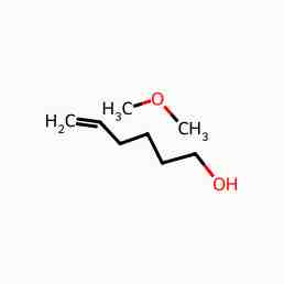 C=CCCCCO.COC